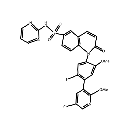 COc1cc(-c2cc(Cl)cnc2OC)c(F)cc1-n1c(=O)ccc2cc(S(=O)(=O)Nc3ncccn3)ccc21